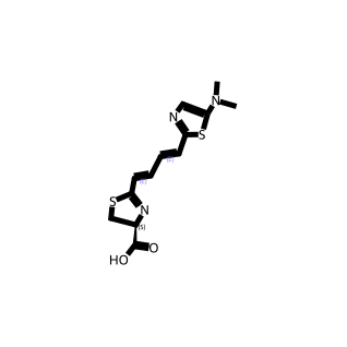 CN(C)c1cnc(/C=C/C=C/C2=N[C@@H](C(=O)O)CS2)s1